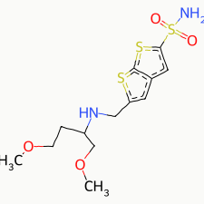 COCCC(COC)NCc1cc2cc(S(N)(=O)=O)sc2s1